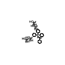 O=C(C[PH](c1ccccc1)(c1ccccc1)c1ccccc1)c1ccccc1.OB(O)F.OB(O)F.OB(O)F.OB(O)F